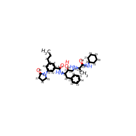 CCCc1cc(C(=O)NC(Cc2ccccc2)C(O)CNC(C)C(=O)NC2CCCCC2)cc(N2CCCC2=O)c1